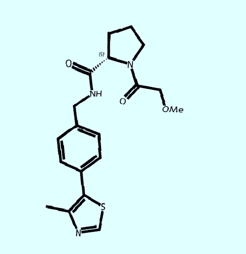 COCC(=O)N1CCC[C@H]1C(=O)NCc1ccc(-c2scnc2C)cc1